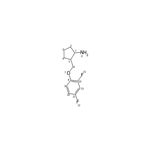 NC1CCCC1COc1ccc(F)cc1F